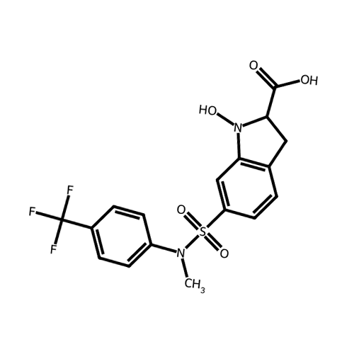 CN(c1ccc(C(F)(F)F)cc1)S(=O)(=O)c1ccc2c(c1)N(O)C(C(=O)O)C2